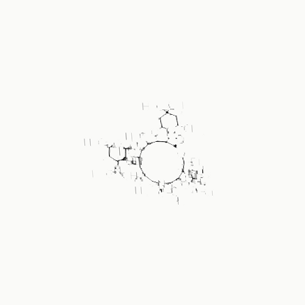 CC[C@H]1OC(=O)[C@H](C)[C@@H](OC2CC(C)(C)C[C@H](C)O2)C(C)[C@@H](OC2O[C@H](C)C[C@H](N(C)C)[C@H]2O)[C@](C)(O)C[C@@H](C)CN(C)[C@H](C)[C@@H](O[Si](C)(C)C(C)(C)C)[C@]1(C)O